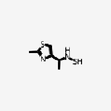 Cc1nc(C(C)NS)cs1